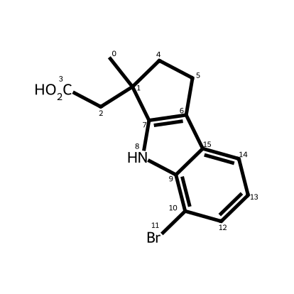 CC1(CC(=O)O)CCc2c1[nH]c1c(Br)cccc21